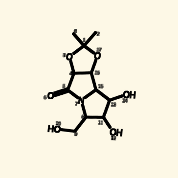 CC1(C)OC2C(=O)N3C(CO)C(O)C(O)C3C2O1